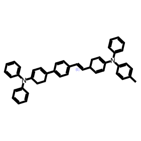 Cc1ccc(N(C2=CCC(/C=C/c3ccc(C4=CC=C(N(c5ccccc5)c5ccccc5)CC4)cc3)C=C2)c2ccccc2)cc1